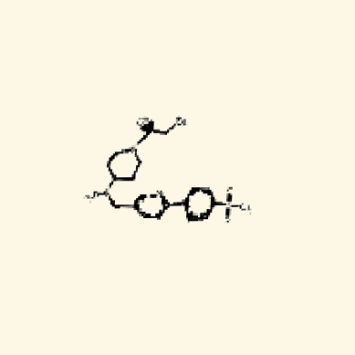 CN(Cc1ccc(-c2ccc(S(C)(=O)=O)cc2)nc1)C1CCN(C(=O)CC(C)(C)C)CC1